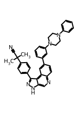 CC(C)(C#N)c1ccc(-c2n[nH]c3cnc4ccc(-c5cccc(N6CCN(c7ccccc7)CC6)c5)cc4c23)cc1